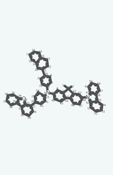 CC1(C)c2cc(N(c3ccc(-c4ccc5ccccc5c4)cc3)c3ccc(-c4cccc5c4oc4ccccc45)cc3)ccc2-c2ccc(-n3c4ccccc4c4ccccc43)cc21